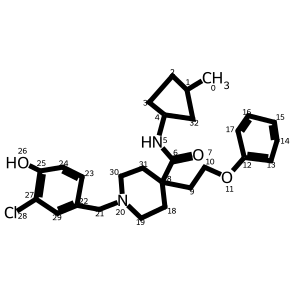 CC1CCC(NC(=O)C2(CCOc3ccccc3)CCN(Cc3ccc(O)c(Cl)c3)CC2)C1